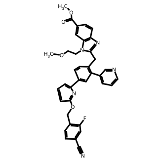 COCCn1c(Cc2ccc(-c3cccc(OCc4ccc(C#N)cc4F)n3)cc2-c2cccnc2)nc2ccc(C(=O)OC)cc21